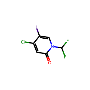 O=c1cc(Cl)c(I)cn1C(F)F